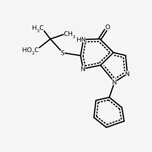 CC(C)(Sc1nc2c(cnn2-c2ccccc2)c(=O)[nH]1)C(=O)O